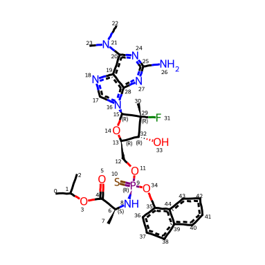 CC(C)OC(=O)[C@H](C)N[P@@](=S)(OC[C@H]1O[C@@H](n2cnc3c(N(C)C)nc(N)nc32)[C@](C)(F)[C@@H]1O)Oc1cccc2ccccc12